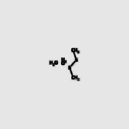 CSSC.O.O